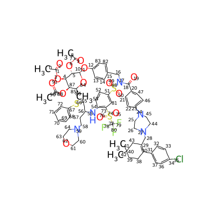 CC(=O)O[C@H]1[C@H](OC(C)=O)[C@H](Oc2ccc(CN(C(=O)c3ccc(N4CCN(CC5=C(c6ccc(Cl)cc6)CCC(C)(C)C5)CC4)cc3)S(=O)(=O)c3ccc(NC(CCN4CCOCC4)CSc4ccccc4)c(S(=O)(=O)C(F)(F)F)c3)cc2)O[C@@H](C)[C@H]1OC(C)=O